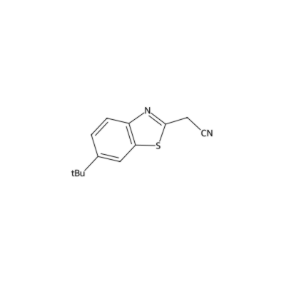 CC(C)(C)c1ccc2nc(CC#N)sc2c1